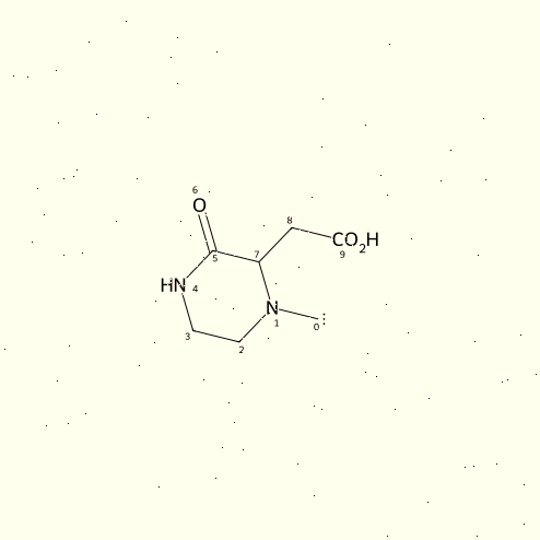 [C]N1CCNC(=O)C1CC(=O)O